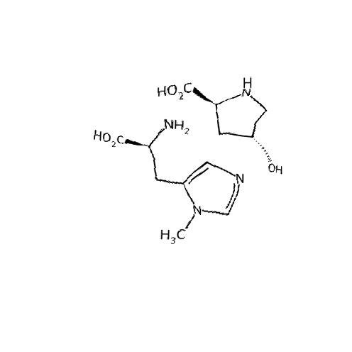 Cn1cncc1C[C@H](N)C(=O)O.O=C(O)[C@@H]1C[C@@H](O)CN1